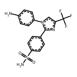 Nc1ccc(-n2cc(C(F)(F)F)nc2-c2ccc(S(N)(=O)=O)cc2)cc1